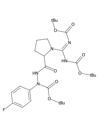 CC(C)(C)OC(=O)N=C(NC(=O)OC(C)(C)C)N1CCCC1C(=O)NN(C(=O)OC(C)(C)C)c1ccc(F)cc1